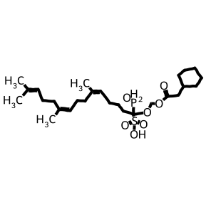 CC(C)=CCCC(C)=CCCC(C)=CCCCC(OCOC(=O)CC1CCCCC1)([PH2]=O)S(=O)(=O)O